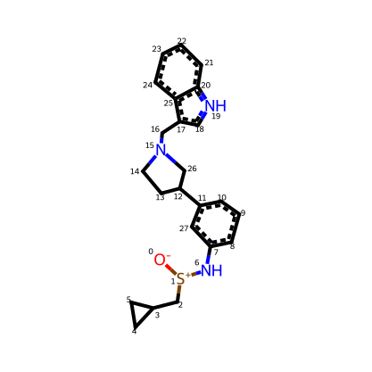 [O-][S+](CC1CC1)Nc1cccc(C2CCN(Cc3c[nH]c4ccccc34)C2)c1